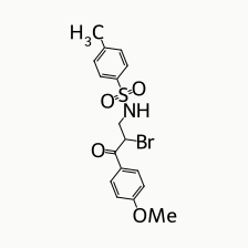 COc1ccc(C(=O)C(Br)CNS(=O)(=O)c2ccc(C)cc2)cc1